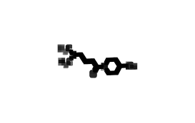 CCC(C)C1CCN(C(=O)/C=C/CN(C)C)CC1